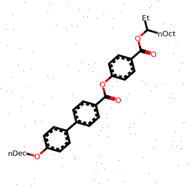 CCCCCCCCCCOc1ccc(-c2ccc(C(=O)Oc3ccc(C(=O)OC(CC)CCCCCCCC)cc3)cc2)cc1